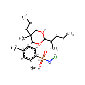 CCCC(C)C1OCC(C)(CCC)CO1.Cc1ccc(S(=O)(=O)[N-]Cl)cc1.[Na+]